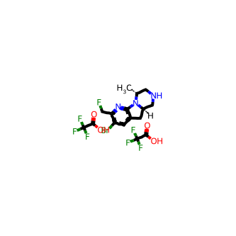 C[C@@H]1CNC[C@H]2Cc3cc(Br)c(CF)nc3N21.O=C(O)C(F)(F)F.O=C(O)C(F)(F)F